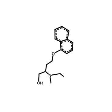 CCN(C)C(CO)CCOc1cccc2ccccc12